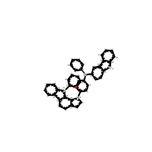 c1ccc(N(c2ccc(-n3ccc4ccc5c6ccccc6n(-c6ccccc6)c5c43)cc2)c2ccc3oc4ccccc4c3c2)cc1